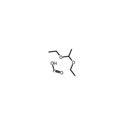 CCOC(C)OCC.O=PO